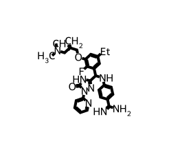 C=C(COc1cc(CC)cc(C(Nc2ccc(C(=N)N)cc2)c2nn(-c3ccccn3)c(=O)[nH]2)c1F)CN(C)C